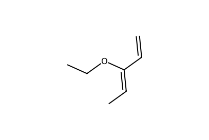 C=CC(=CC)OCC